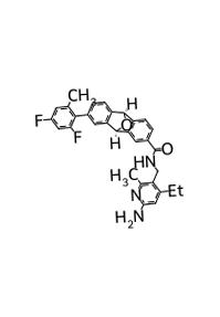 CCc1cc(N)nc(C)c1CNC(=O)c1ccc2c(c1)[C@@H]1O[C@H]2c2ccc(-c3c(C)cc(F)cc3F)cc21